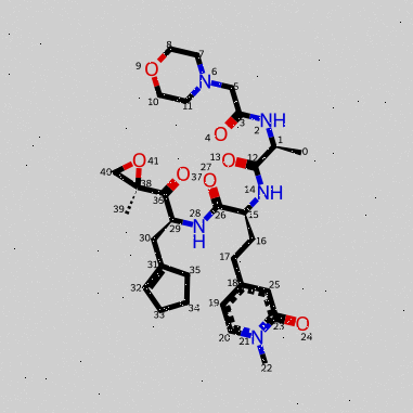 C[C@H](NC(=O)CN1CCOCC1)C(=O)N[C@@H](CCc1ccn(C)c(=O)c1)C(=O)N[C@@H](CC1=CCCC1)C(=O)[C@@]1(C)CO1